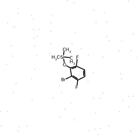 C[Si](C)(C)Oc1c(F)ccc(F)c1Br